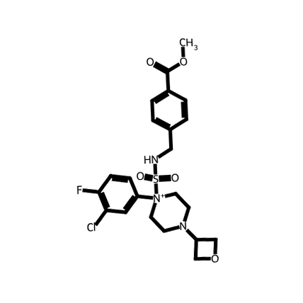 COC(=O)c1ccc(CNS(=O)(=O)[N+]2(c3ccc(F)c(Cl)c3)CCN(C3COC3)CC2)cc1